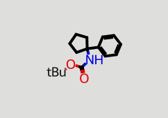 CC(C)(C)OC(=O)NC1(c2ccccc2)CCCC1